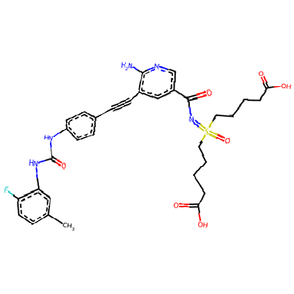 Cc1ccc(F)c(NC(=O)Nc2ccc(C#Cc3cc(C(=O)N=S(=O)(CCCCC(=O)O)CCCCC(=O)O)cnc3N)cc2)c1